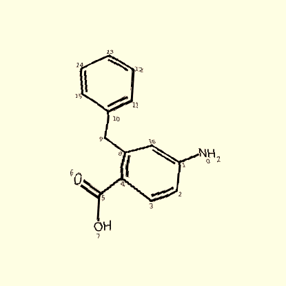 Nc1ccc(C(=O)O)c(Cc2ccccc2)c1